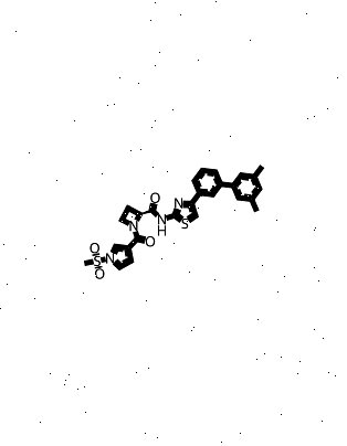 Cc1cc(C)cc(-c2cccc(-c3csc(NC(=O)[C@@H]4CCN4C(=O)c4ccn(S(C)(=O)=O)c4)n3)c2)c1